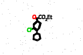 CCOC(=O)C(=O)c1ccc(C2CCCCC2)c(Cl)c1